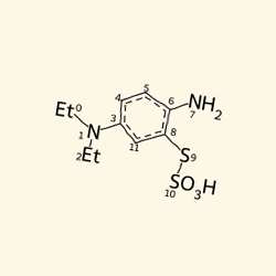 CCN(CC)c1ccc(N)c(SS(=O)(=O)O)c1